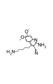 COc1cc2nc(N)c(C#N)c(CCCCCN)c2cc1OC